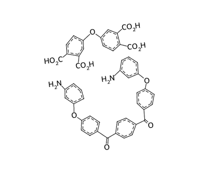 Nc1cccc(Oc2ccc(C(=O)c3ccc(C(=O)c4ccc(Oc5cccc(N)c5)cc4)cc3)cc2)c1.O=C(O)c1ccc(Oc2ccc(C(=O)O)c(C(=O)O)c2)cc1C(=O)O